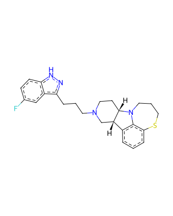 Fc1ccc2[nH]nc(CCCN3CC[C@H]4[C@@H](C3)c3cccc5c3N4CCCS5)c2c1